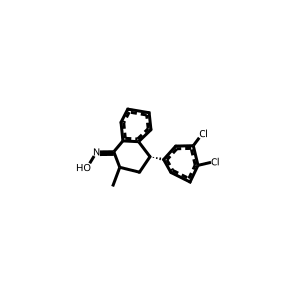 CC1C[C@@H](c2ccc(Cl)c(Cl)c2)c2ccccc2/C1=N/O